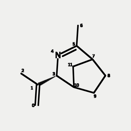 C=C(C)[C@@H]1N=C(C)C2CCC1C2